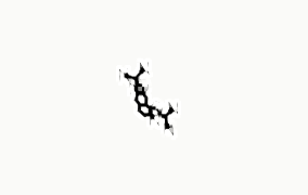 N#CC(C#N)=c1nc2cc3ccc4nc(=C(C#N)C#N)oc4c3cc2o1